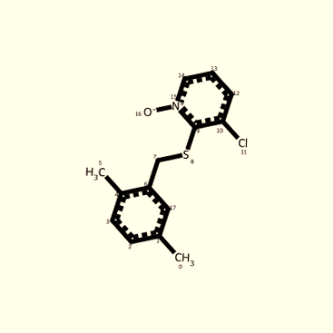 Cc1ccc(C)c(CSc2c(Cl)ccc[n+]2[O-])c1